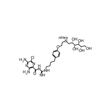 CCCCCCN(CCOc1ccc(CCCCNC(=N)NC(=O)c2nc(Cl)c(N)nc2N)cc1)C[C@H](O)[C@H](O)[C@@H](O)[C@@H](O)CO